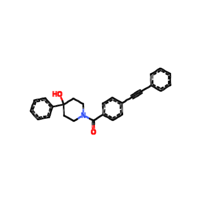 O=C(c1ccc(C#Cc2ccccc2)cc1)N1CCC(O)(c2ccccc2)CC1